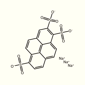 O=S(=O)([O-])c1cc2ccc3c(S(=O)(=O)[O-])ccc4ccc(c1S(=O)(=O)[O-])c2c43.[Na+].[Na+].[Na+]